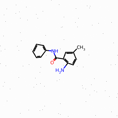 Cc1ccc(N)c(C(=O)Nc2ccccc2)c1